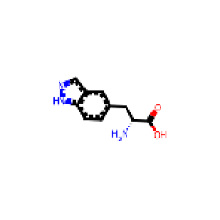 N[C@H](Cc1ccc2[nH]ncc2c1)C(=O)O